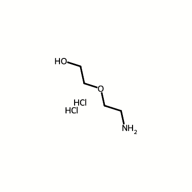 Cl.Cl.NCCOCCO